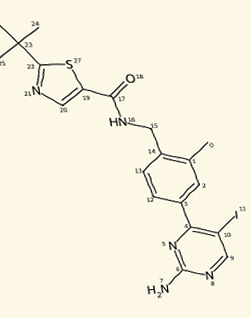 Cc1cc(-c2nc(N)ncc2I)ccc1CNC(=O)c1cnc(C(C)(C)C)s1